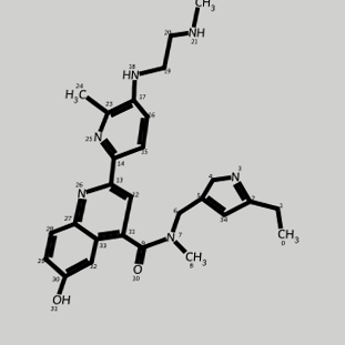 CCC1=NCC(CN(C)C(=O)c2cc(-c3ccc(NCCNC)c(C)n3)nc3ccc(O)cc23)=C1